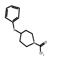 O=C(N1CCC(Sc2ccccc2)CC1)C(F)(F)F